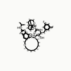 CC(C)Nc1nc2cc3c(cc2s1)S(=O)(=O)N(C[C@@H](O)[C@H](Cc1cc(F)cc(F)c1)NC(=O)O[C@H]1C2CO[C@H]4OC1CC4C2)CCCCCCCCOC3